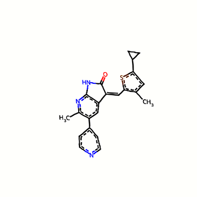 Cc1cc(C2CC2)sc1C=C1C(=O)Nc2nc(C)c(-c3ccncc3)cc21